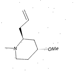 C=CC[C@H]1C[C@H](OC)CCN1C